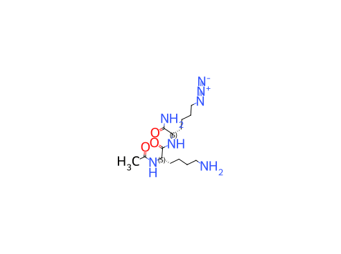 CC(=O)N[C@@H](CCCCN)C(=O)N[C@@H](CCCCN=[N+]=[N-])C(N)=O